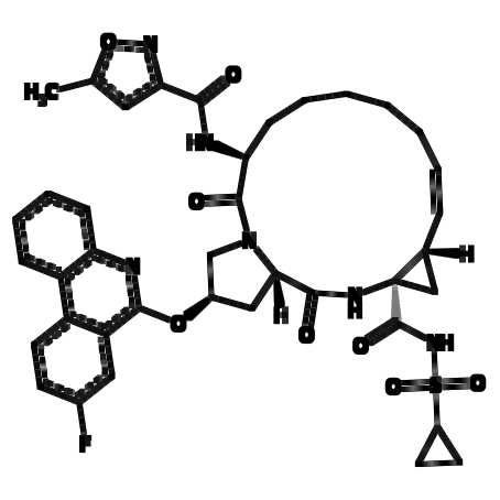 Cc1cc(C(=O)N[C@H]2CCCCCC=C[C@@H]3C[C@@]3(C(=O)NS(=O)(=O)C3CC3)NC(=O)[C@@H]3C[C@@H](Oc4nc5ccccc5c5ccc(F)cc45)CN3C2=O)no1